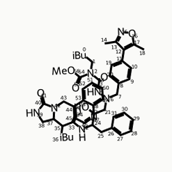 CCC(C)CN(C(=O)NN(Cc1ccc(-c2c(C)noc2C)cc1)CC(O)C(Cc1ccccc1)NC(=O)C(C(C)CC)C1CNC(=O)N1Cc1ccnc2ccccc12)C(=O)OC